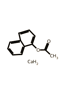 CC(=O)Oc1cccc2ccccc12.[CaH2]